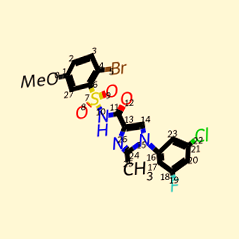 COc1ccc(Br)c(S(=O)(=O)NC(=O)c2cn(-c3cc(F)cc(Cl)c3)c(C)n2)c1